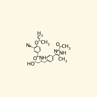 CC(=O)c1nc(-c2ccc(CC(CCO)NC(=O)c3ccc(OC(C)C)c(C#N)c3)cc2)c(C)[nH]1